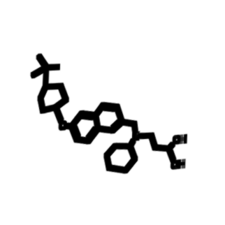 CC(C)(C)C1CCC(Oc2ccc3cc(CN(CCC(O)O)C4CCCCC4)ccc3c2)CC1